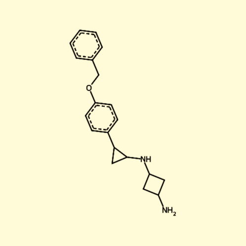 NC1CC(NC2CC2c2ccc(OCc3ccccc3)cc2)C1